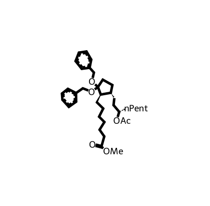 CCCCC[C@@H](CC[C@H]1CCC(OCc2ccccc2)(OCc2ccccc2)[C@@H]1CCCCCCC(=O)OC)OC(C)=O